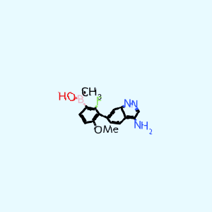 COc1ccc(B(C)O)c(F)c1-c1ccc2c(N)cnnc2c1